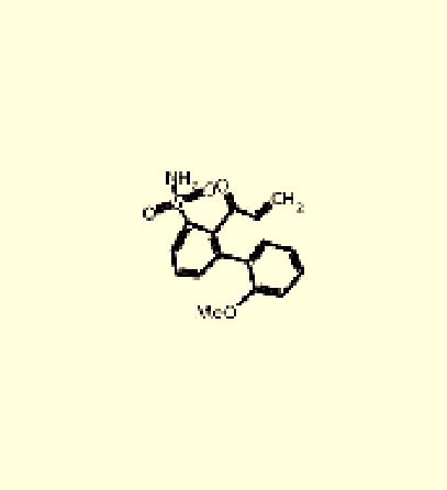 C=CC(=O)c1c(-c2ccccc2OC)cccc1S(N)(=O)=O